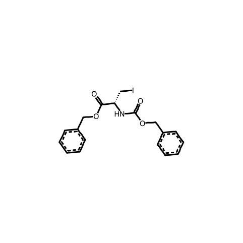 O=C(N[C@@H](CI)C(=O)OCc1ccccc1)OCc1ccccc1